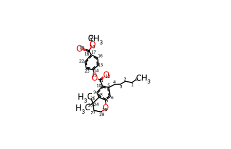 CCCCCc1cc2c(cc1C(=O)Oc1ccc(C(=O)OC)cc1)C(C)(C)CCO2